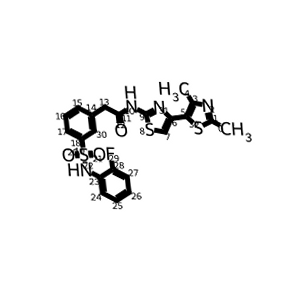 Cc1nc(C)c(-c2csc(NC(=O)Cc3cccc(S(=O)(=O)Nc4ccccc4F)c3)n2)s1